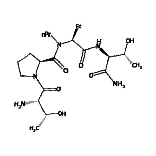 CCCN(C(=O)[C@@H]1CCCN1C(=O)[C@@H](N)[C@@H](C)O)[C@@H](CC)C(=O)N[C@H](C(N)=O)[C@@H](C)O